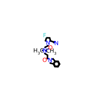 C[N+](C)(CCC(=O)N1Cc2ccccc2C1)CC(=O)N1CC(F)CC1C#N